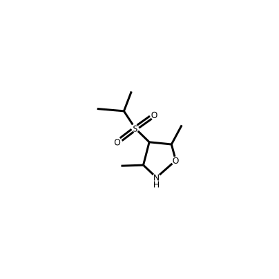 CC1NOC(C)C1S(=O)(=O)C(C)C